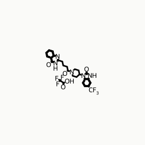 O=C(CCCc1nc2ccccc2c(=O)[nH]1)N1CCC(n2c(=O)[nH]c3cc(C(F)(F)F)ccc32)CC1.O=C(O)C(F)(F)F